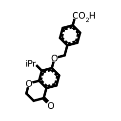 CC(C)c1c(OCc2ccc(C(=O)O)cc2)ccc2c1OCCC2=O